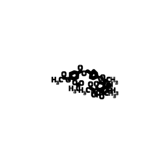 CC(=O)Oc1ccc(C(=O)OCc2ccc(O[C@@H]3O[C@H](C(O)C(C)=O)[C@](O)(C(C)=O)[C@@](O)(C(C)=O)[C@]3(O)C(C)=O)cc2)cc1OC(C)=O